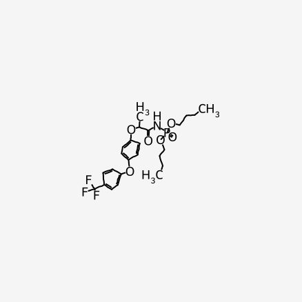 CCCCOP(=O)(NC(=O)C(C)Oc1ccc(Oc2ccc(C(F)(F)F)cc2)cc1)OCCCC